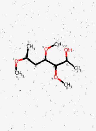 COC(C)CC(OC)C(OC)C(C)O